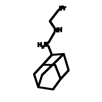 CC(C)CN[SiH2]C1C2CC3CC(C2)CC1C3